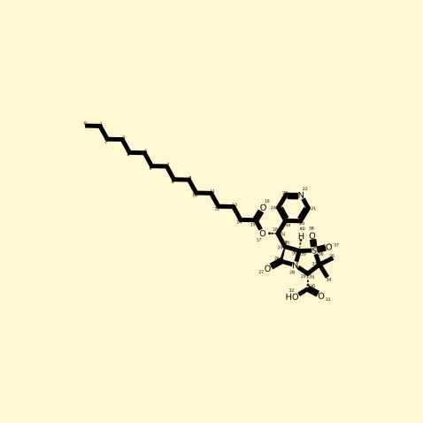 CCCCCCCCCCCCCCCC(=O)O[C@H](c1ccncc1)[C@@H]1C(=O)N2[C@@H](C(=O)O)C(C)(C)S(=O)(=O)[C@H]12